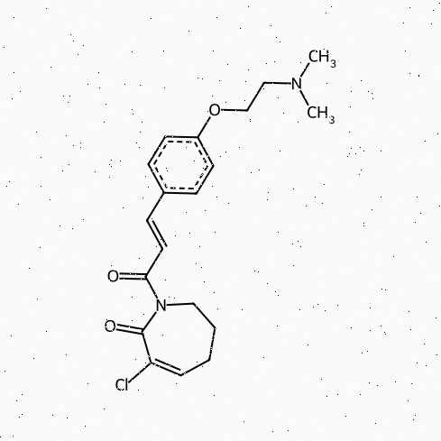 CN(C)CCOc1ccc(/C=C/C(=O)N2CCCC=C(Cl)C2=O)cc1